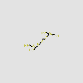 SCCSC(CS)CSCCSCCSCC(CS)SCCS